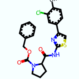 COc1ccc(-c2csc(NC(=O)C3CCCN3C(=O)OCc3ccccc3)n2)cc1Cl